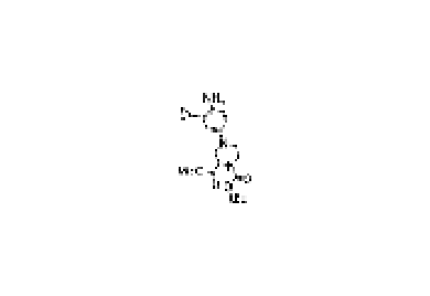 COC(=O)C1CN(c2ccc(N)c(C3CC3)c2)CCN1C(=O)OC(C)(C)C